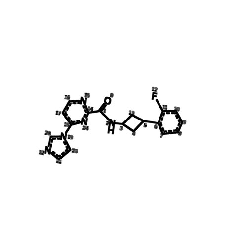 O=C(NC1CC(c2ccccc2F)C1)c1nccc(-n2ccnc2)n1